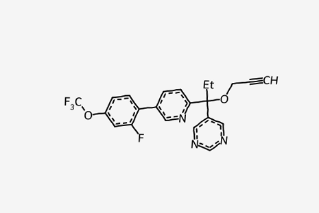 C#CCOC(CC)(c1cncnc1)c1ccc(-c2ccc(OC(F)(F)F)cc2F)cn1